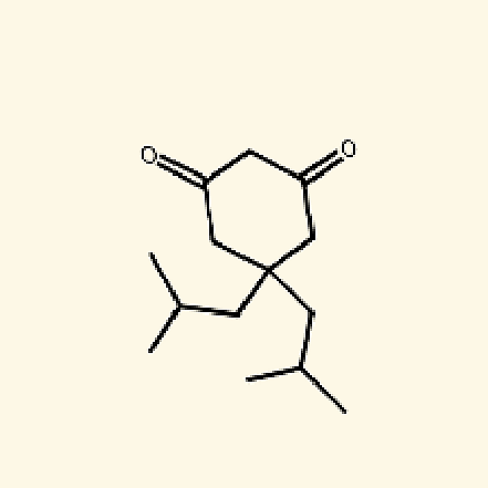 CC(C)CC1(CC(C)C)CC(=O)CC(=O)C1